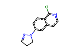 Clc1nccc2cc(N3CCC=N3)ccc12